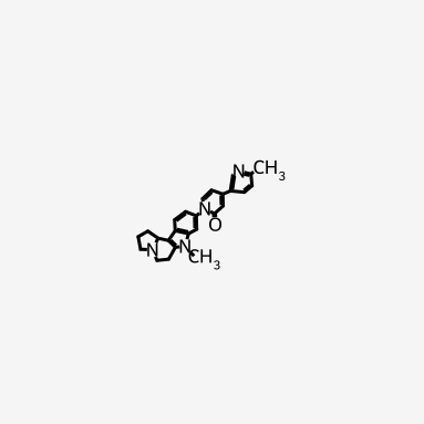 Cc1ccc(-c2ccn(-c3ccc4c5c(n(C)c4c3)CCN3CCCC53)c(=O)c2)cn1